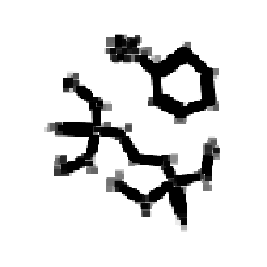 CCOP(=S)(OCC)SCSP(=S)(OCC)OCC.O=C([O-])c1ccccc1.[Na+]